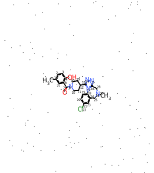 Cc1ccc(O)c(C(=O)N2CCC(c3nnc4n3-c3ccc(Cl)cc3CN(C)C4)CC2)c1